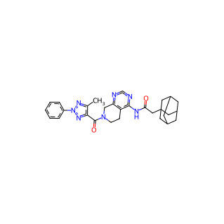 Cc1nn(-c2ccccc2)nc1C(=O)N1CCc2c(ncnc2NC(=O)CC23CC4CC(CC(C4)C2)C3)C1